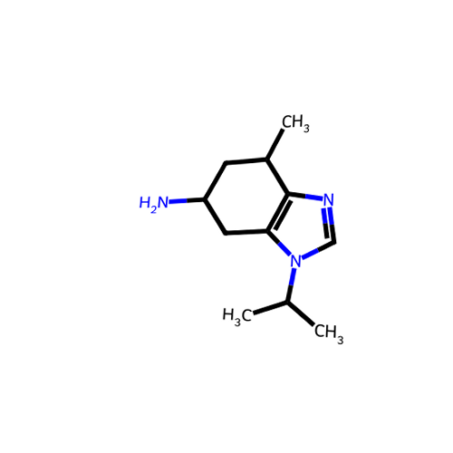 CC1CC(N)Cc2c1ncn2C(C)C